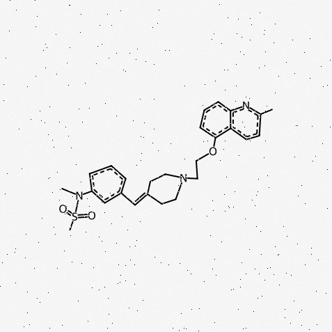 Cc1ccc2c(OCCN3CCC(=Cc4cccc(N(C)S(C)(=O)=O)c4)CC3)cccc2n1